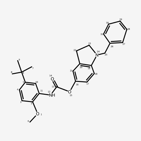 COc1ccc(C(C)(C)C)cc1NC(=O)Oc1ccc2c(c1)CCN2Cc1ccccc1